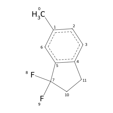 Cc1ccc2c(c1)C(F)(F)CC2